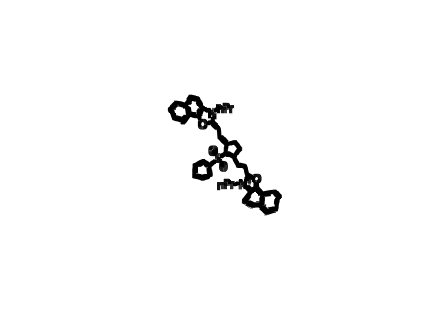 CCCN1/C(=C/C=C2\CCC(/C=C/c3oc4c5ccccc5ccc4[n+]3CCC)=C2S(=O)(=O)c2ccccc2)Oc2c1ccc1ccccc21